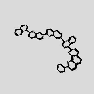 c1ccc(-c2ccc3ccc4ccc(-c5ccc(-c6ccc7ccc(-c8ccc9ccc(-c%10cncc%11ccccc%10%11)nc9c8)nc7c6)c6ccccc56)nc4c3n2)cc1